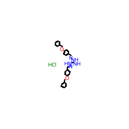 Cl.N=C(N/N=C/c1ccc(OCc2ccccc2)cc1)N/N=C/c1ccc(OCc2ccccc2)cc1